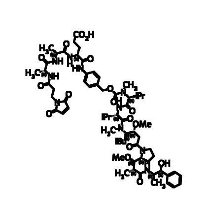 CC[C@H](C)[C@@H]([C@@H](CC(=O)N1CCC[C@H]1[C@H](OC)[C@@H](C)C(=O)N[C@H](C)[C@@H](O)c1ccccc1)OC)N(C)C(=O)[C@@H](NC(=O)[C@H](C(C)C)N(C)C(=O)OCc1ccc(NC(=O)[C@H](CCC(=O)O)NC(=O)[C@H](C)NC(=O)[C@@H](C)NC(=O)CCN2C(=O)C=CC2=O)cc1)C(C)C